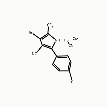 N#CS.N#Cc1c(-c2ccc(Cl)cc2)[nH]c(C(F)(F)F)c1Br.[Cu]